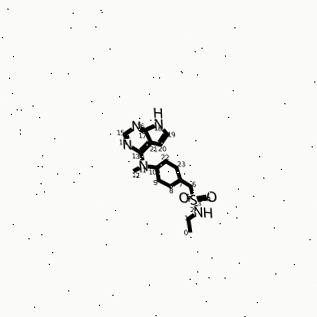 CCNS(=O)(=O)CC1CCC(N(C)c2ncnc3[nH]ccc23)CC1